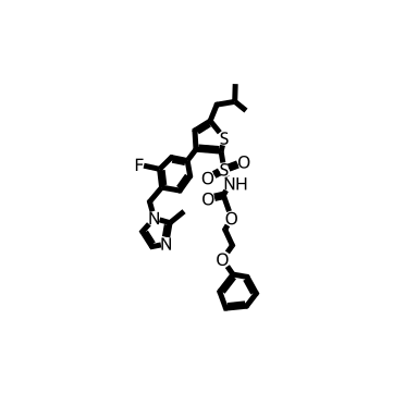 Cc1nccn1Cc1ccc(-c2cc(CC(C)C)sc2S(=O)(=O)NC(=O)OCCOc2ccccc2)cc1F